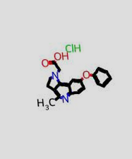 Cc1nc2ccc(Oc3ccccc3)cc2c2c1CCN2CC(=O)O.Cl